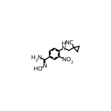 N#CC1(CNc2ccc(C(N)=NO)cc2[N+](=O)[O-])CC1